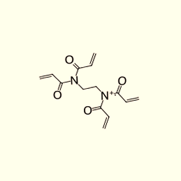 C=CC(=O)N(CC[N+](C(=O)C=C)C(=O)C=C)C(=O)C=C